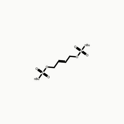 CCCCS(=O)(=O)OC/C=C/COS(=O)(=O)CCCC